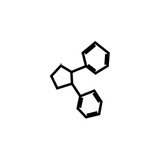 [CH]1CCC(c2ccccc2)C1c1ccccc1